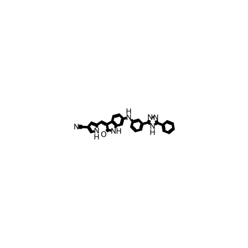 N#Cc1c[nH]c(/C=C2\C(=O)Nc3cc(Nc4cccc(-c5nnc(-c6ccccc6)[nH]5)c4)ccc32)c1